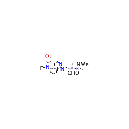 CCN(c1cccc2c(NC/C(C=O)=C(C)/C=C(/C)NC)nccc12)C1CCOCC1